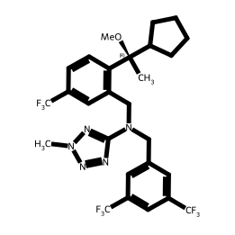 CO[C@@](C)(c1ccc(C(F)(F)F)cc1CN(Cc1cc(C(F)(F)F)cc(C(F)(F)F)c1)c1nnn(C)n1)C1CCCC1